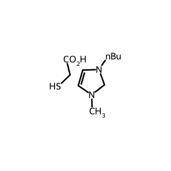 CCCCN1C=CN(C)C1.O=C(O)CS